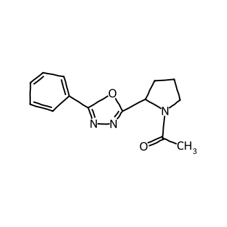 CC(=O)N1CCCC1c1nnc(-c2ccccc2)o1